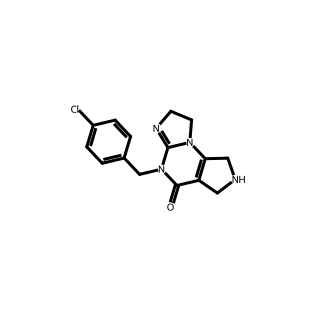 O=C1C2=C(CNC2)N2CCN=C2N1Cc1ccc(Cl)cc1